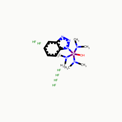 CN(C)P(O)(N(C)C)(N(C)C)n1nnc2ccccc21.F.F.F.F.F.F